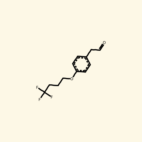 O=CCc1ccc(OCCCC(F)(F)F)cc1